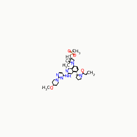 C=CC(=O)N1CCC[C@@H]1c1ccc(N2C[C@H](CS(C)(=O)=O)C2(C)C)c2cnc(Nc3ccnc(N4CCC(OC)CC4)n3)cc12